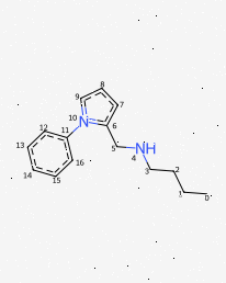 CCCCNCc1cccn1-c1ccccc1